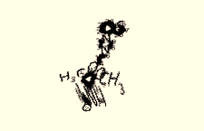 COc1cc(NC(=O)I)cc(C)c1OCCCN1CCN(c2cccc3sccc23)CC1